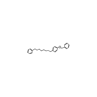 c1ccc(CCCCCCCCc2ccc(OCc3ccccc3)cc2)cc1